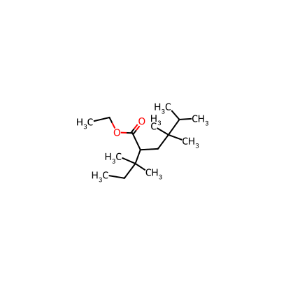 CCOC(=O)C(CC(C)(C)C(C)C)C(C)(C)CC